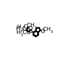 CO[C@@H]1CCc2c(B3OC(C)(C)C(C)(C)O3)cccc21